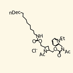 CCCCCCCCCCCCCCCCCCNC(=O)OCC1CC(COC(=O)N(Cc2cccc[n+]2CC)C(C)=O)N1C(C)=O.[Cl-]